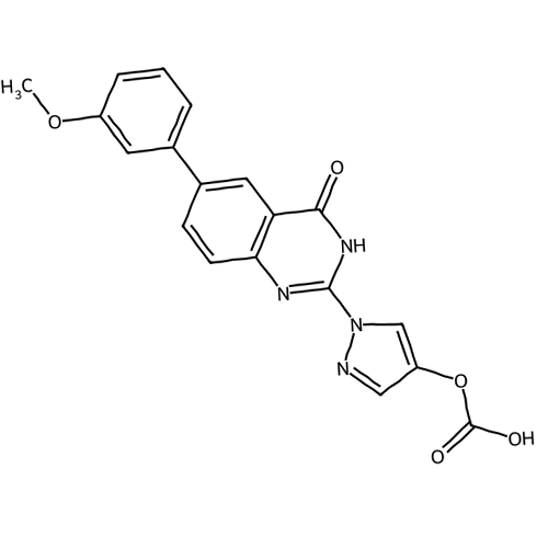 COc1cccc(-c2ccc3nc(-n4cc(OC(=O)O)cn4)[nH]c(=O)c3c2)c1